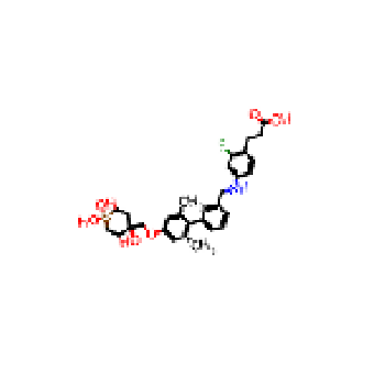 Cc1cc(OCC2(O)CCS(O)(O)CC2)cc(C)c1-c1cccc(CNc2ccc(CCC(=O)O)c(F)c2)c1